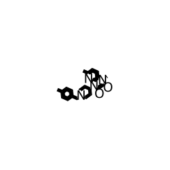 Cc1ccc(CN2CCC(n3c(=O)c(=O)n(C)c4ccc(C)nc43)CC2)cc1